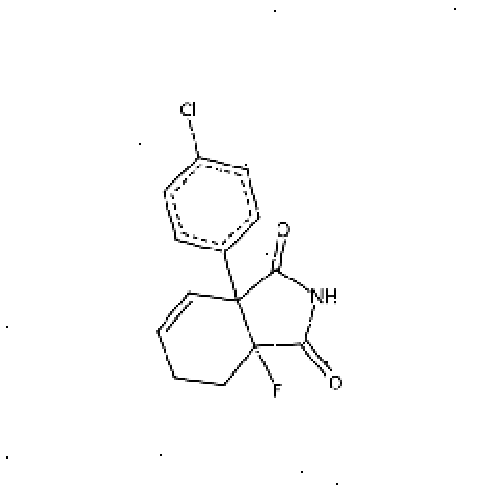 O=C1NC(=O)C2(c3ccc(Cl)cc3)C=CCCC12F